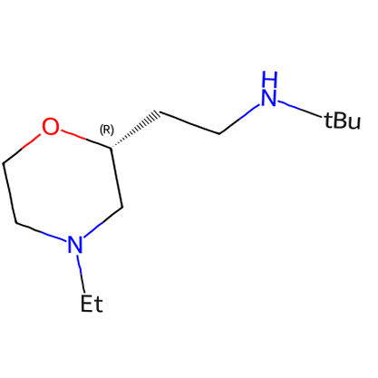 CCN1CCO[C@H](CCNC(C)(C)C)C1